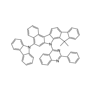 CC1(C)c2ccccc2-c2ccc3c4c5ccccc5c(-n5c6ccccc6c6ccccc65)cc4n(-c4nc(-c5ccccc5)nc5ccccc45)c3c21